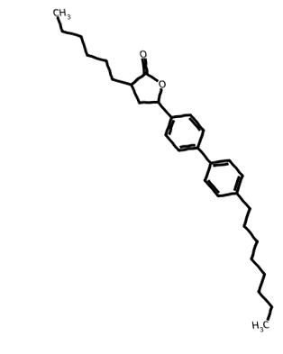 CCCCCCCCc1ccc(-c2ccc(C3CC(CCCCCC)C(=O)O3)cc2)cc1